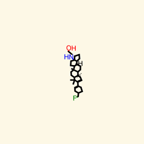 CC1(C)C(C2=CCC(CF)CC2)=CC[C@@]2(C)C1CCC1(C)C3CCC4(NCCO)CCCC4[C@H]3CCC12